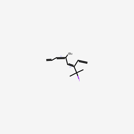 C=C/C=C(\C=C(/C=C)C(C)(C)I)C(C)(C)C